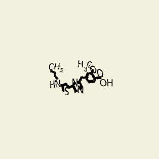 CCCCCNc1csc(-c2cncc(Cc3ccc(C(=O)O)c(OC)c3)n2)c1